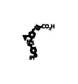 CC(C)Oc1ccc(-c2cnc(-c3ccc(CN4CC(C(=O)O)C4)cc3C3CC3)s2)cc1